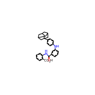 O=C(Nc1ccccc1C(=O)O)c1cccc(Nc2ccc(C34CC5CC(CC(C5)C3)C4)cc2)c1